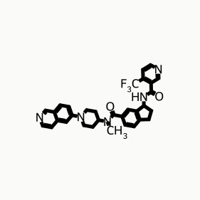 CN(C(=O)c1ccc2c(c1)C(NC(=O)c1cnccc1C(F)(F)F)CC2)C1CCN(c2ccc3cnccc3c2)CC1